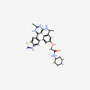 Cc1nc(NC(C)c2cccc(OCC(=O)NC3CCCCC3)c2)cc(-c2ccc3ncsc3c2)n1